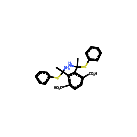 CC(N)(Sc1ccccc1)c1c(C(=O)O)ccc(C(=O)O)c1C(C)(N)Sc1ccccc1